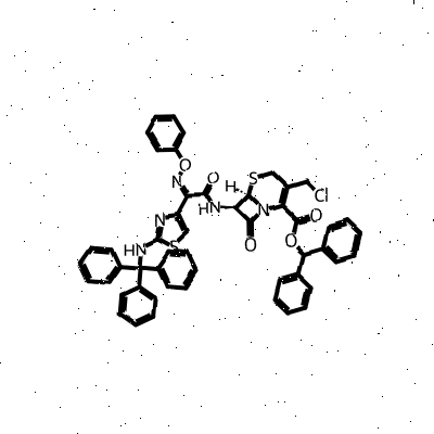 O=C(OC(c1ccccc1)c1ccccc1)C1=C(CCl)CS[C@@H]2[C@H](NC(=O)/C(=N\Oc3ccccc3)c3csc(NC(c4ccccc4)(c4ccccc4)c4ccccc4)n3)C(=O)N12